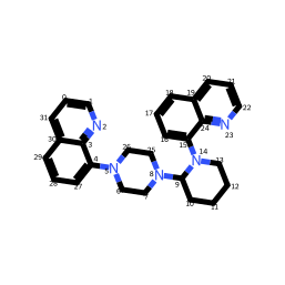 c1cnc2c(N3CCN(C4CCCCN4c4cccc5cccnc45)CC3)cccc2c1